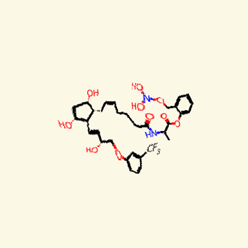 CC(NC(=O)CCC/C=C\C[C@@H]1[C@@H](/C=C/[C@@H](O)COc2cccc(C(F)(F)F)c2)[C@H](O)C[C@@H]1O)C(=O)Oc1ccccc1CON(O)O